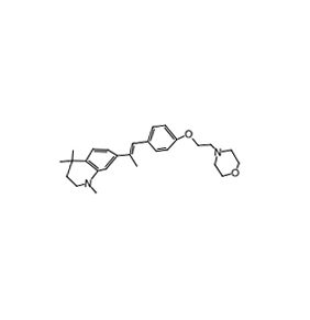 CC(=Cc1ccc(OCCN2CCOCC2)cc1)c1ccc2c(c1)N(C)CCC2(C)C